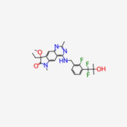 CCC1(OC)C(=O)N(C)c2cc3c(NCc4cccc(C(F)(F)C(C)(C)O)c4F)nc(C)nc3cc21